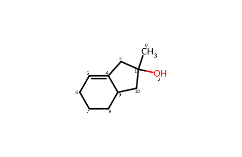 CC1(O)CC2=CCCCC2C1